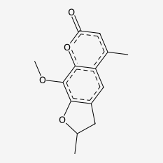 COc1c2c(cc3c(C)cc(=O)oc13)CC(C)O2